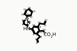 C=CCc1cc(Nc2ccn(-c3ccccc3)n2)cc(CC=C)c1CC(=O)O